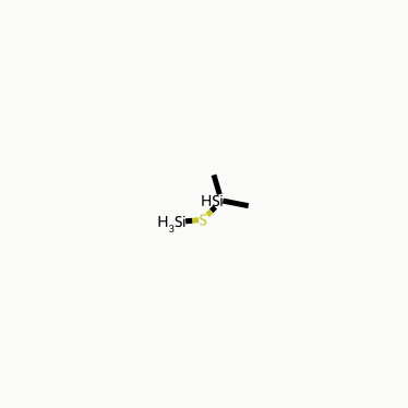 C[SiH](C)S[SiH3]